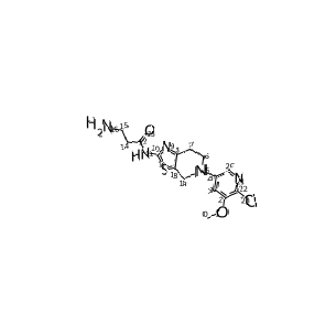 COc1cc(N2CCc3nc(NC(=O)CCN)sc3C2)cnc1Cl